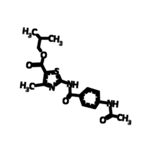 CC(=O)Nc1ccc(C(=O)Nc2nc(C)c(C(=O)OCC(C)C)s2)cc1